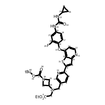 CCOC(=O)CN(Cc1ccc(-c2cc3nccc(Oc4ccc(NC(=O)NC5CC5)cc4F)c3s2)nc1)C1CN(C(=O)OC(C)(C)C)C1